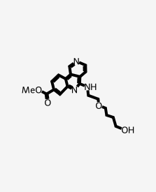 COC(=O)c1ccc2c(c1)nc(NCCOCCCCO)c1ccncc12